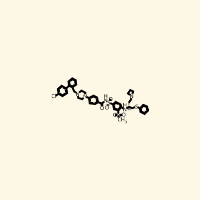 CS(=O)(=O)c1cc(S(=O)(=O)NC(=O)c2ccc(N3CCN(Cc4ccccc4-c4ccc(Cl)cc4)CC3)cc2)ccc1N[C@H](CCN1CCC1)CSc1ccccc1